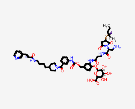 CCCC(C)(I)SC1CC(=O)N(C(CN)C(=O)NCCC(=O)Nc2cc(COC(=O)Nc3cccc(C(=O)N4CCC(CCCCNC(=O)/C=C/c5cccnc5)CC4)c3)ccc2OC2OC(C(=O)O)C(O)[C@H](O)[C@@H]2O)C1=O